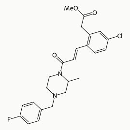 COC(=O)Cc1cc(Cl)ccc1/C=C/C(=O)N1CCN(Cc2ccc(F)cc2)CC1C